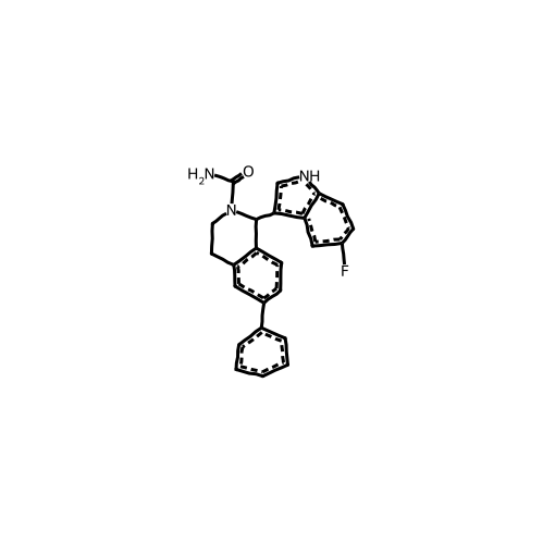 NC(=O)N1CCc2cc(-c3ccccc3)ccc2C1c1c[nH]c2ccc(F)cc12